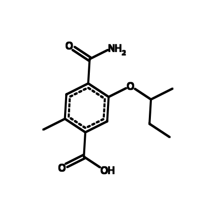 CCC(C)Oc1cc(C(=O)O)c(C)cc1C(N)=O